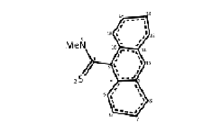 CNC(=S)c1c2ccccc2cc2ccccc12